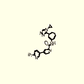 CC(C)c1ccc(-c2ccnc(C(=O)NC3=CC(c4nncn4C4CC4)=CCC=C3)c2)cn1